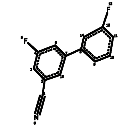 N#Cc1cc(F)cc(-c2cccc(F)c2)c1